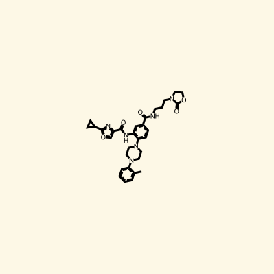 Cc1ccccc1N1CCN(c2ccc(C(=O)NCCCN3CCOC3=O)cc2NC(=O)c2coc(C3CC3)n2)CC1